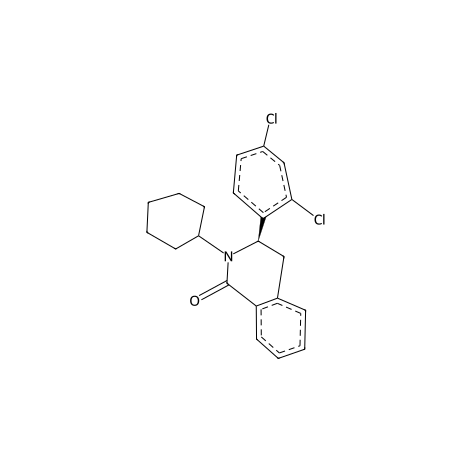 O=C1c2ccccc2C[C@H](c2ccc(Cl)cc2Cl)N1C1CCCCC1